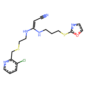 N#CC=C(NCCCSc1ncco1)NCCSCc1ncccc1Cl